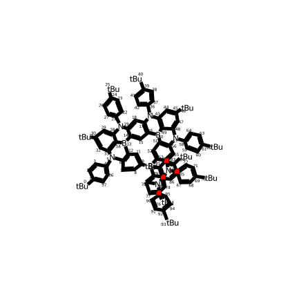 CC(C)(C)c1ccc(N2c3ccc(C(C)(C)C)cc3B3c4cc5c(cc4N(c4ccc(C(C)(C)C)cc4)c4cc(C(C)(C)C)cc2c43)N(c2ccc(C(C)(C)C)cc2)c2cc(C(C)(C)C)cc3c2B5c2cc4c(cc2N3c2ccc(C(C)(C)C)cc2)N(c2ccc(C(C)(C)C)cc2)c2cc(C(C)(C)C)cc3c2B4c2cc(C(C)(C)C)ccc2N3c2ccc(C(C)(C)C)cc2)cc1